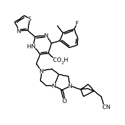 Cc1c(F)cccc1C1N=C(c2nccs2)NC(CN2CCN3C(=O)N(C45CC(CC#N)(C4)C5)CC3C2)=C1C(=O)O